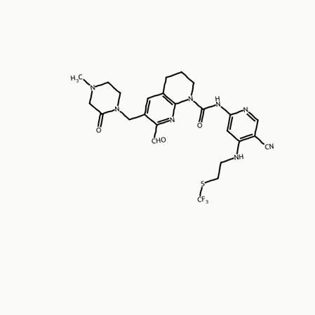 CN1CCN(Cc2cc3c(nc2C=O)N(C(=O)Nc2cc(NCCSC(F)(F)F)c(C#N)cn2)CCC3)C(=O)C1